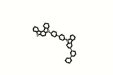 c1ccc(-c2cccc(-c3ccc4c(c3)c3ccccc3n4-c3ccc(-c4ccc(-n5c6ccccc6c6c7c(ccc65)sc5ccccc57)cc4)cc3)c2)cc1